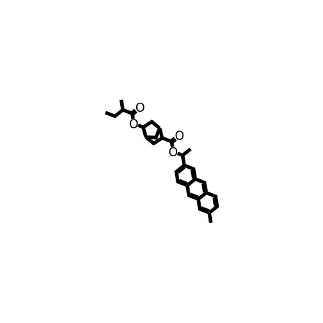 CCC(C)C(=O)OC1CC2CC1CC2C(=O)OC(C)c1ccc2cc3cc(C)ccc3cc2c1